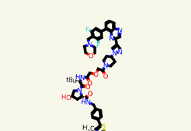 Cc1ncsc1-c1ccc(CNC(=O)[C@@H]2C[C@@H](O)CN2C(=O)[C@@H](NC(=O)COCC(=O)N2CCC(n3cc(-c4cnc5cccc(-c6cc(F)c(CN7CCOCC7)c(F)c6)c5n4)cn3)CC2)C(C)(C)C)cc1